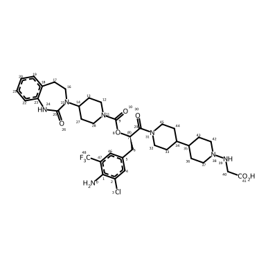 Nc1c(Cl)cc(C[C@@H](OC(=O)N2CCC(N3CCc4ccccc4NC3=O)CC2)C(=O)N2CCC(C3CCN(NCC(=O)O)CC3)CC2)cc1C(F)(F)F